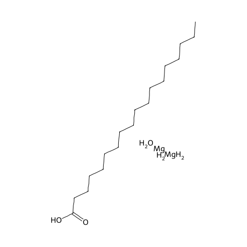 CCCCCCCCCCCCCCCCCC(=O)O.O.[MgH2].[MgH2]